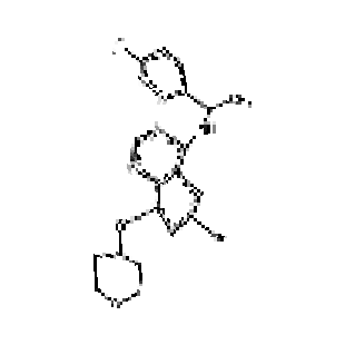 Cc1ccc(C(C)Nc2ncnc3c(OC4CCOCC4)cc(Br)cc23)nn1